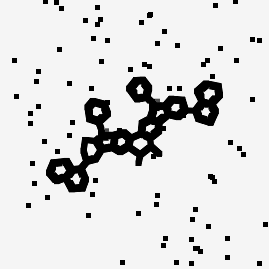 CC1c2cc3c4c(n(-c5ccccc5)c3cc2-c2cc3c(cc2C1C)c1cc(-c2cccc5ccccc25)ccc1n3-c1ccccc1)CCC(c1cccc2ccccc12)=C4